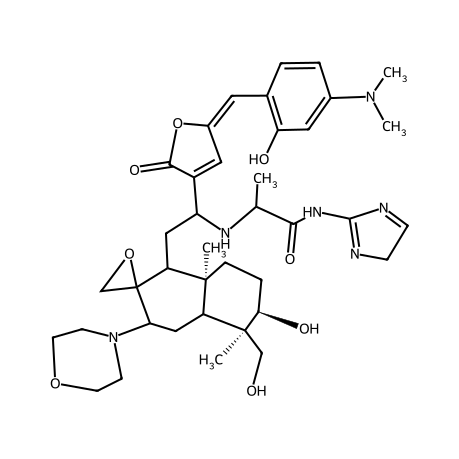 CC(NC(CC1C2(CO2)C(N2CCOCC2)CC2[C@]1(C)CC[C@@H](O)[C@@]2(C)CO)C1=C/C(=C\c2ccc(N(C)C)cc2O)OC1=O)C(=O)NC1=NCC=N1